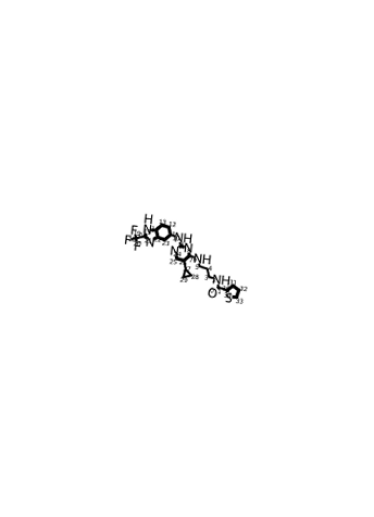 O=C(NCCCNc1nc(Nc2ccc3[nH]c(C(F)(F)F)nc3c2)ncc1C1CC1)c1cccs1